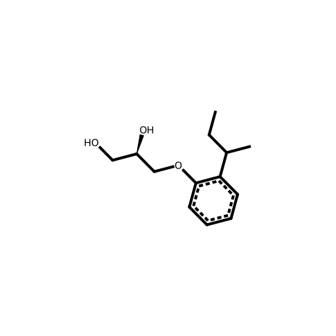 CCC(C)c1ccccc1OC[C@H](O)CO